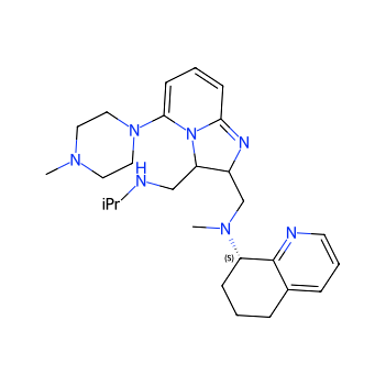 CC(C)NCC1C(CN(C)[C@H]2CCCc3cccnc32)N=C2C=CC=C(N3CCN(C)CC3)N21